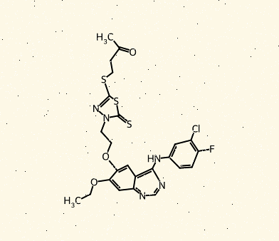 CCOc1cc2ncnc(Nc3ccc(F)c(Cl)c3)c2cc1OCCn1nc(SCCC(C)=O)sc1=S